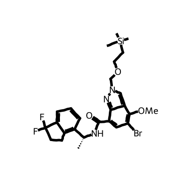 COc1c(Br)cc(C(=O)N[C@H](C)c2cccc3c2CCC3(F)F)c2nn(COCC[Si](C)(C)C)cc12